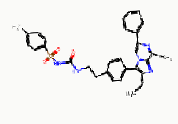 CCc1nc2c(C)nc(-c3ccccc3)cn2c1-c1ccc(CCNC(=O)NS(=O)(=O)c2ccc(C)cc2)cc1